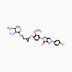 COc1cc(N2Cc3cn(-c4ccc(Cl)cc4)nc3C2=O)ccc1OC1CC1CCOC(=O)C(N)C(C)C